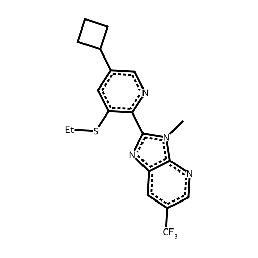 CCSc1cc(C2CCC2)cnc1-c1nc2cc(C(F)(F)F)cnc2n1C